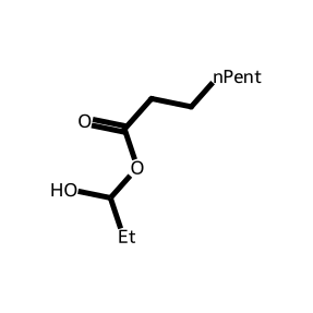 CCCCCCCC(=O)OC(O)CC